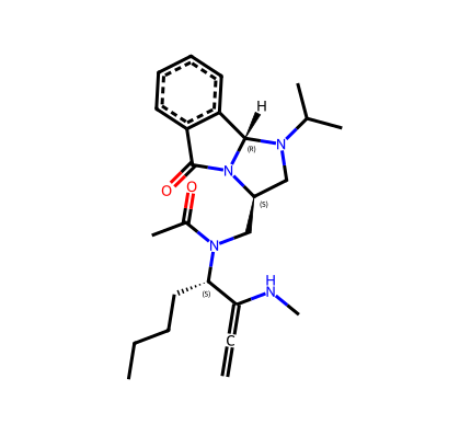 C=C=C(NC)[C@H](CCCC)N(C[C@@H]1CN(C(C)C)[C@H]2c3ccccc3C(=O)N12)C(C)=O